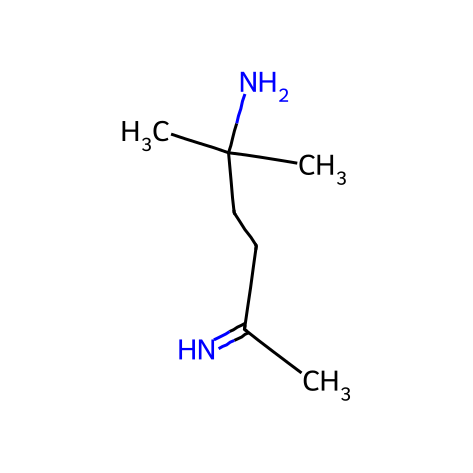 CC(=N)CCC(C)(C)N